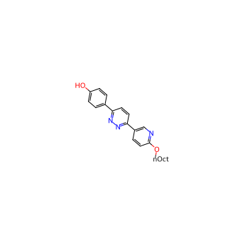 CCCCCCCCOc1ccc(-c2ccc(-c3ccc(O)cc3)nn2)cn1